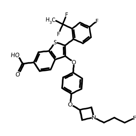 CC(F)(F)c1cc(F)ccc1-c1sc2cc(C(=O)O)ccc2c1Oc1ccc(OC2CN(CCCF)C2)cc1